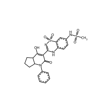 CS(=O)(=O)Nc1ccc2c(c1)S(=O)(=O)N=C(C1=C(O)C3CCCC3N(c3ccccc3)C1=O)N2